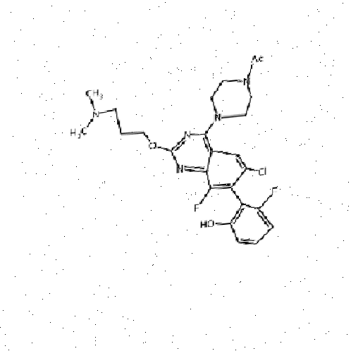 CC(=O)N1CCN(c2nc(OCCCN(C)C)nc3c(F)c(-c4c(O)cccc4F)c(Cl)cc23)CC1